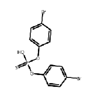 OP(=S)(Oc1ccc(Br)cc1)Oc1ccc(Br)cc1